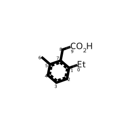 CCc1cccc(C)c1CC(=O)O